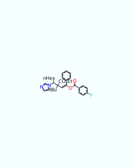 CCCCCCC(n1ccnc1)C(C=C(OC(=O)c1ccc(F)cc1)c1ccccc1)(C(=O)OCC)C(C)(C)C